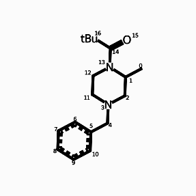 CC1CN(Cc2ccccc2)CCN1C(=O)C(C)(C)C